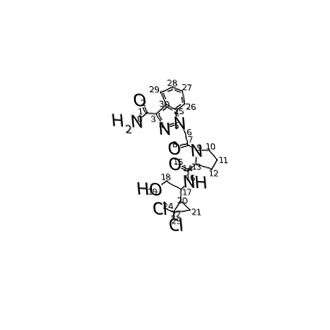 NC(=O)c1nn(CC(=O)N2CCC[C@H]2C(=O)NC(CO)C2CC2(Cl)Cl)c2ccccc12